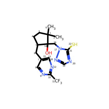 CC1(C)CCC(Cc2cnc(C(F)(F)F)nc2)C1(O)Cn1ncnc1S